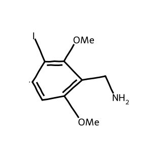 COc1c[c]c(I)c(OC)c1CN